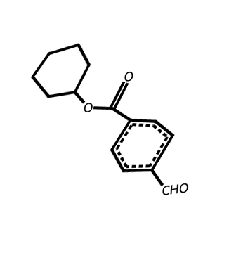 O=Cc1ccc(C(=O)OC2CCCCC2)cc1